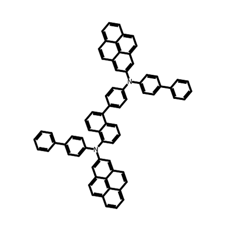 c1ccc(-c2ccc(N(c3ccc(-c4cccc5c(N(c6ccc(-c7ccccc7)cc6)c6cc7ccc8cccc9ccc(c6)c7c89)cccc45)cc3)c3cc4ccc5cccc6ccc(c3)c4c56)cc2)cc1